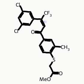 COC(=O)CSc1ccc(C(=O)/C=C(\c2cc(Cl)cc(Cl)c2)C(F)(F)F)cc1C